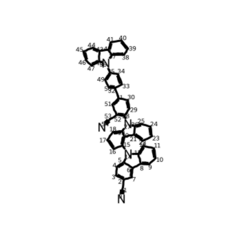 N#Cc1ccc2c(c1)c1ccccc1n2-c1cccc2c1c1ccccc1n2-c1ccc(-c2ccc(-n3c4ccccc4c4ccccc43)cc2)cc1C#N